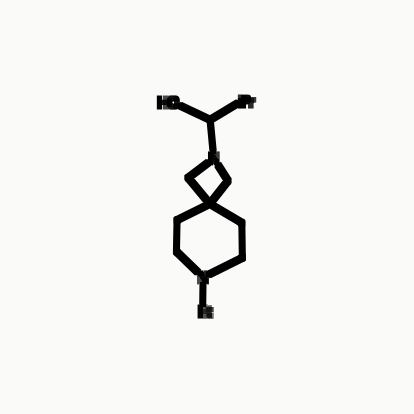 CCN1CCC2(CC1)CN(C(O)C(C)C)C2